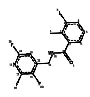 Cc1c(I)cccc1C(=O)NCc1cc(F)nc(F)c1F